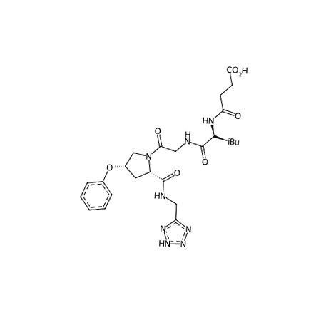 CC[C@H](C)[C@H](NC(=O)CCC(=O)O)C(=O)NCC(=O)N1C[C@@H](Oc2ccccc2)C[C@H]1C(=O)NCc1nn[nH]n1